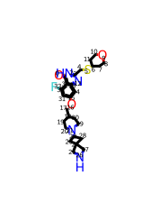 O=c1[nH]c(CSC2CCOCC2)nc2cc(OCC3CCN(C4CC5(CNC5)C4)CC3)cc(F)c12